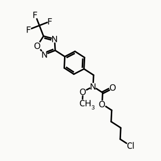 CON(Cc1ccc(-c2noc(C(F)(F)F)n2)cc1)C(=O)OCCCCCl